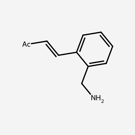 CC(=O)/C=C/c1ccccc1CN